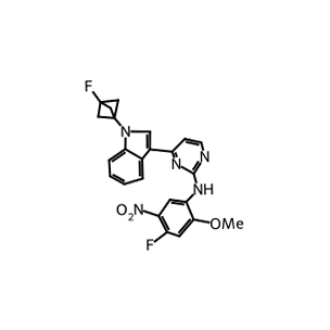 COc1cc(F)c([N+](=O)[O-])cc1Nc1nccc(-c2cn(C34CC(F)(C3)C4)c3ccccc23)n1